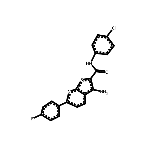 Nc1c(C(=O)Nc2ccc(Cl)cc2)sc2nc(-c3ccc(F)cc3)ccc12